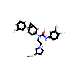 CC(=O)NC1CCN(CCN(C(=O)Nc2ccc(F)c(C(F)(F)F)c2)[C@@H]2CC[C@]3(c4cccc(C#N)c4)CC3C2)C1